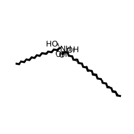 CCCCCCCCCCCCCCCCCCCCCC[C@@H](O)C(=O)N[C@@H](CO)[C@H](O)CCCCCCCCCCCCCCC